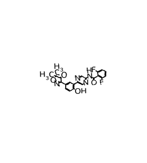 CC1(C)ON=C(c2ccc(O)c(-c3cnc(NC(=O)c4c(F)cccc4F)cn3)c2)C1=O